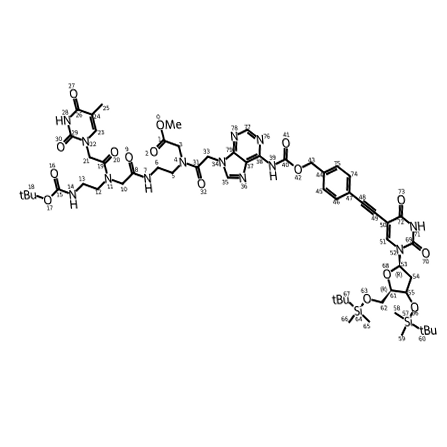 COC(=O)CN(CCNC(=O)CN(CCNC(=O)OC(C)(C)C)C(=O)Cn1cc(C)c(=O)[nH]c1=O)C(=O)Cn1cnc2c(NC(=O)OCc3ccc(C#Cc4cn([C@H]5CC(O[Si](C)(C)C(C)(C)C)[C@@H](CO[Si](C)(C)C(C)(C)C)O5)c(=O)[nH]c4=O)cc3)ncnc21